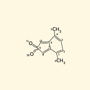 Cc1ccc(C)c2c1=CS(=O)(=O)C=2